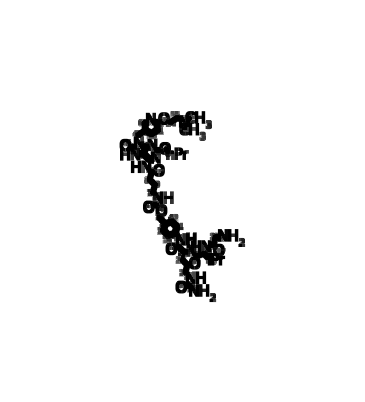 CCCOc1nc(NC(=O)CCCNC(=O)OCc2ccc(NC(=O)[C@H](CCCNC(N)=O)NC(=O)C(NC(=O)CN)C(C)C)cc2)c2[nH]c(=O)n(Cc3ccc(OCCN(C)C)nc3)c2n1